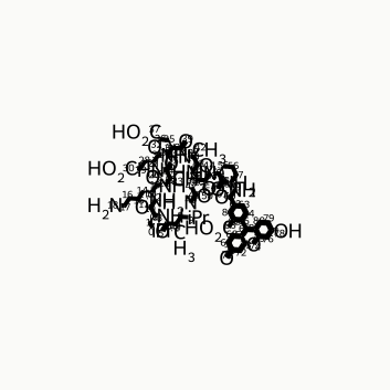 CC(C)C[C@H](NC(=O)[C@@H](C)CC(C)C)C(=O)N[C@@H](CCCCN)C(=O)N[C@@H](C)C(=O)N[C@@H](CCC(=O)O)C(=O)N[C@@H](CCC(=O)O)C(=O)N[C@@H](C)C(=O)N[C@@H](CC(N)=O)C(=O)N[C@@H](CCCCNC(=O)c1ccc(-c2c3ccc(=O)cc-3oc3cc(O)ccc23)c(C(=O)O)c1)C(N)=O